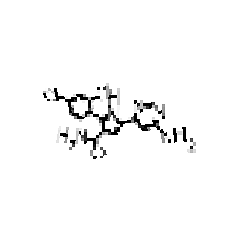 NC(=O)c1cc(-c2cc(N)ncn2)[nH]c1-c1ccc(Cl)cc1Cl